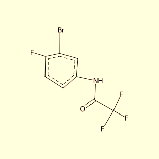 O=C(Nc1ccc(F)c(Br)c1)C(F)(F)F